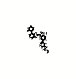 CCNCc1cncc(-c2ccc3[nH]nc(-c4nc5c(-c6ccccc6F)cncc5[nH]4)c3c2)c1